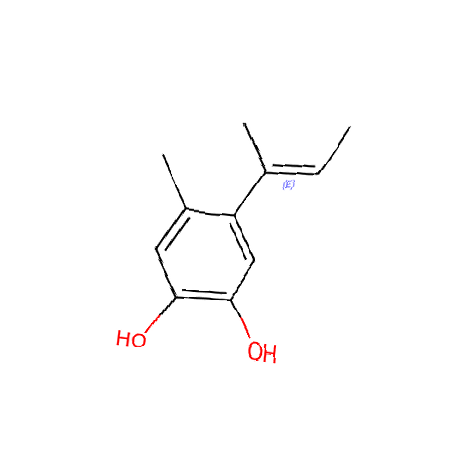 C/C=C(\C)c1cc(O)c(O)cc1C